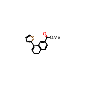 COC(=O)c1ccc2c(c1)C(c1cccs1)=CCC2